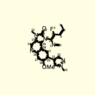 C=N/C(=C(F)\C=C/C)n1c(=O)n(C)c2cnc3cc(OC)c(-c4cnn(C)c4)cc3c21